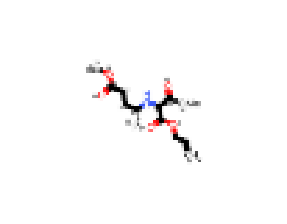 C=CCOC(=O)C(N[C@H](C)CCC(=O)OC(C)(C)C)C(=O)OC